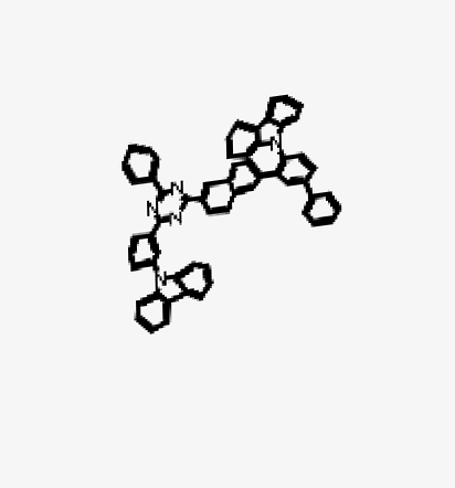 c1ccc(-c2ccc(-n3c4ccccc4c4ccccc43)c(-c3ccc4cc(-c5nc(-c6ccccc6)nc(-c6cccc(-n7c8ccccc8c8ccccc87)c6)n5)ccc4c3)c2)cc1